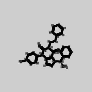 C[C@@H](c1ccccc1)n1cnc2c1c(=O)n(CCc1ccccc1)c(=O)n2-c1ccc(F)cc1